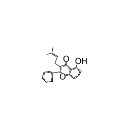 CC(C)=CCc1c(-c2ccccc2)oc2cccc(O)c2c1=O